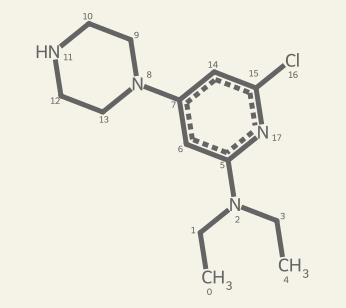 CCN(CC)c1cc(N2CCNCC2)cc(Cl)n1